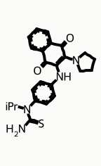 CC(C)N(C(N)=S)c1ccc(NC2=C(N3CCCC3)C(=O)c3ccccc3C2=O)cc1